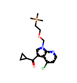 CS(C)(C)CCOCn1cc(C(=O)C2CC2)c2c(Cl)ccnc21